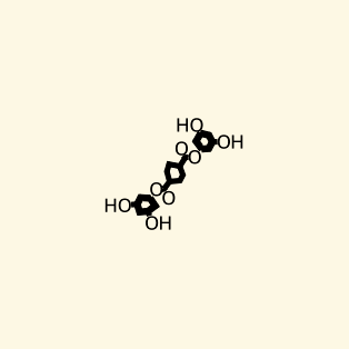 O=C(Oc1cc(O)cc(O)c1)C1CCC(C(=O)Oc2cc(O)cc(O)c2)CC1